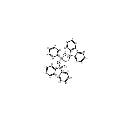 C[Si](O[Si](C)(c1ccccc1)c1ccccc1)(O[Si](C)(c1ccccc1)c1ccccc1)c1ccccc1